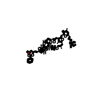 C=C(Br)C[C@@H](CC[C@@]12C[C@H]3O[C@H]4[C@@H](O1)[C@H]1O[C@@H](CC(=O)C[C@H]5C(C[C@H]6O[C@@H](CCCO[Si](CC)(CC)CC)C[C@@H](C)C6=C)O[C@H](C[C@H](C)CO[Si](C)(C)C(C)(C)C)[C@@H]5C)CC[C@@H]1O[C@H]4C3O2)OC(=O)c1ccccc1